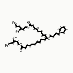 CC(C)CCC(CCOC(=O)CCCCCCCCCC(CCCCCCCC(=O)OCCC(CCC(C)C)C(C)C)OCCCCN1CCCCC1)C(C)C